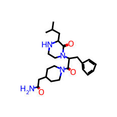 CC(C)CC1NCCN(C(Cc2ccccc2)C(=O)N2CCC(CC(N)=O)CC2)C1=O